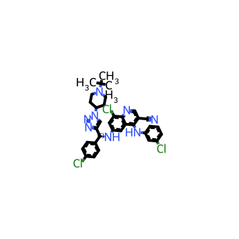 CC(C)(C)N1CCC(n2cc([C@@H](Nc3cc(Cl)c4ncc(C#N)c(Nc5cccc(Cl)c5)c4c3)c3ccc(Cl)cc3)nn2)CC1